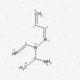 C=C/C=N\N(C=P)C(C)N